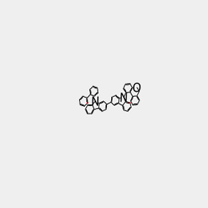 c1ccc(-c2ccccc2-n2c3ccccc3c3ccc(-c4ccc5c(c4)c4ccccc4n5-c4cccc5c4-c4ccccc4CO5)cc32)cc1